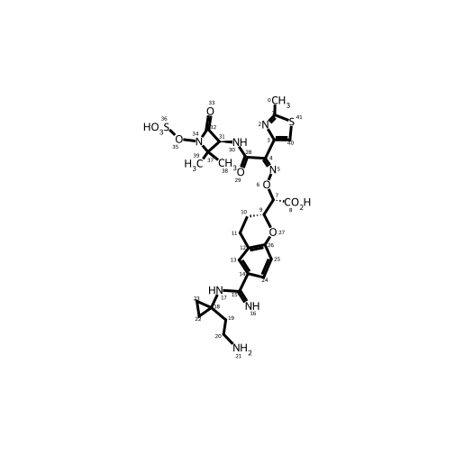 Cc1nc(/C(=N/O[C@H](C(=O)O)[C@H]2CCc3cc(C(=N)NC4(CCN)CC4)ccc3O2)C(=O)N[C@@H]2C(=O)N(OS(=O)(=O)O)C2(C)C)cs1